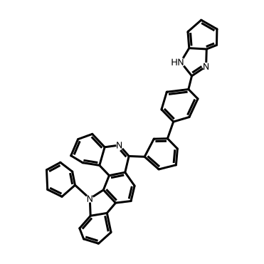 c1ccc(-n2c3ccccc3c3ccc4c(-c5cccc(-c6ccc(-c7nc8ccccc8[nH]7)cc6)c5)nc5ccccc5c4c32)cc1